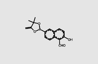 C=C1OB(c2ccc3c(C=O)c(O)ccc3c2)OC1(C)C